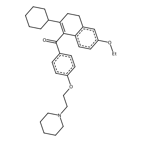 CCOc1ccc2c(c1)CCC(C1CCCCC1)=C2C(=O)c1ccc(OCCN2CCCCC2)cc1